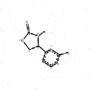 Cc1cccc(C2COC(=O)N2C)n1